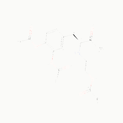 CCC(=O)Oc1ccc(C[C@H](NCCOC(=O)C(C)C)C(=O)OC)cc1OC(=O)CC